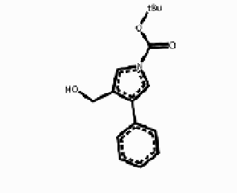 CC(C)(C)OC(=O)n1cc(CO)c(-c2ccccc2)c1